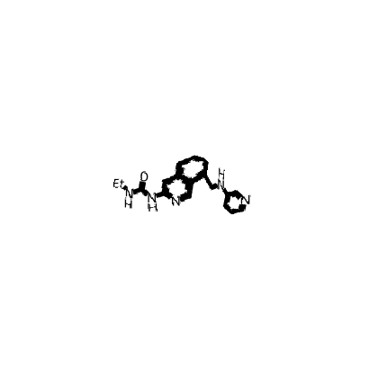 CCNC(=O)Nc1cc2cccc(CNc3cccnc3)c2cn1